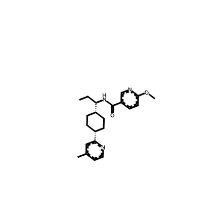 CCC(NC(=O)c1ccc(OC)nc1)[C@H]1CC[C@@H](c2cc(C)ccn2)CC1